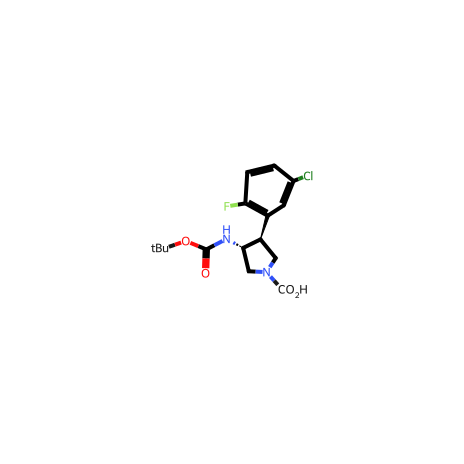 CC(C)(C)OC(=O)N[C@H]1CN(C(=O)O)C[C@@H]1c1cc(Cl)ccc1F